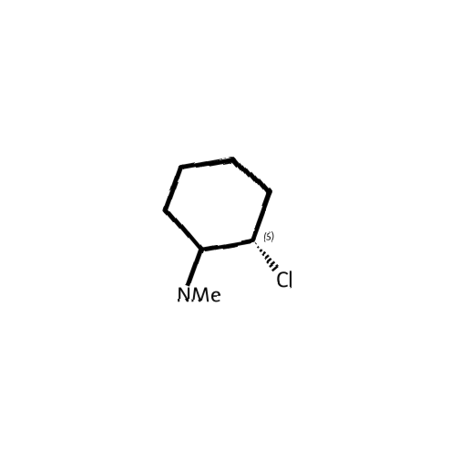 CNC1CCCC[C@@H]1Cl